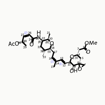 COC(=O)C[C@@H]1C[C@@]2(CO2)[C@H](O)[C@@H](/C=C/C(C)=C\C[C@@H]2O[C@H](C)[C@H](NC(=O)/C=C\[C@H](C)OC(C)=O)C[C@H]2C)O1